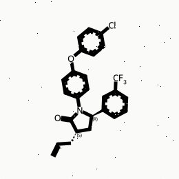 C=CC[C@H]1C[C@H](c2cccc(C(F)(F)F)c2)N(c2ccc(Oc3ccc(Cl)cc3)cc2)C1=O